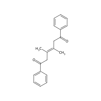 C/C(CC(=O)c1ccccc1)=C(/C)CC(=O)c1ccccc1